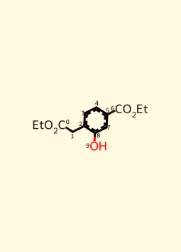 CCOC(=O)Cc1ccc(C(=O)OCC)cc1O